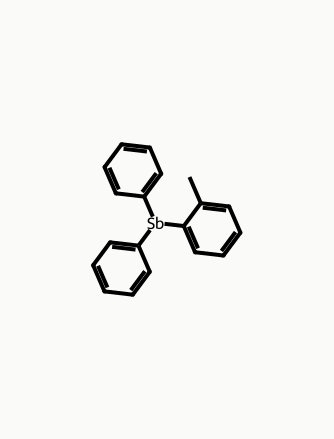 Cc1cccc[c]1[Sb]([c]1ccccc1)[c]1ccccc1